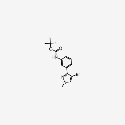 Cn1cc(Br)c(-c2cccc(NC(=O)OC(C)(C)C)c2)n1